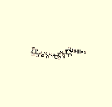 CCCCCCOc1ccc(-c2ncc(OCCCCCCCCC3CCCC3)cn2)cc1